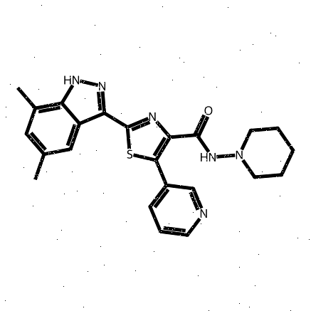 Cc1cc(C)c2[nH]nc(-c3nc(C(=O)NN4CCCCC4)c(-c4cccnc4)s3)c2c1